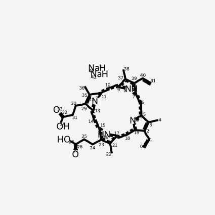 C=CC1=C(C)c2cc3[nH]c(cc4nc(cc5[nH]c(cc1n2)c(C)c5CCC(=O)O)C(CCC(=O)O)=C4C)c(C)c3C=C.[NaH].[NaH]